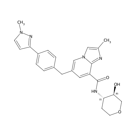 Cc1cn2cc(Cc3ccc(-c4ccn(C)n4)cc3)cc(C(=O)N[C@H]3CCOC[C@@H]3O)c2n1